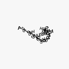 CCCCN1C(=O)[C@H]([C@H](O)C2CCCCC2)NC(=O)C12CCN(Cc1ccc(Oc3ccc(C(=O)NCCOCCNC(=O)CCCC(=O)Nc4ccc(CCC(=O)CC(C)=O)cc4)cc3)cc1)CC2